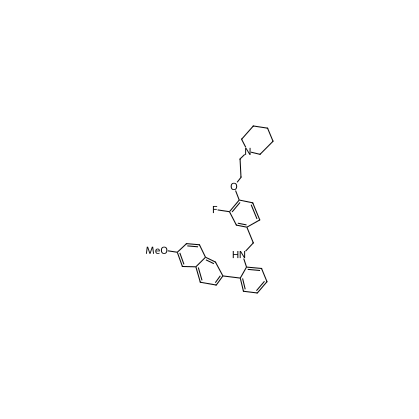 COc1ccc2cc(-c3ccccc3NCc3ccc(OCCN4CCCCC4)c(F)c3)ccc2c1